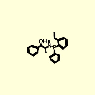 CCc1ccccc1[P@](c1ccccc1)N(C)[C@@H](C)C(O)c1ccccc1